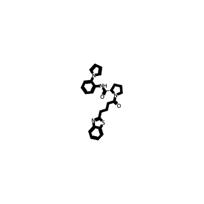 O=C(Nc1ccccc1-n1cccc1)[C@@H]1CCCN1C(=O)CCCc1nc2ccccc2s1